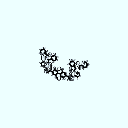 O=C(N[C@@H](C(=O)N1CCC[C@H]1c1ncc(-c2cc3c4c(c2)OCc2cc(-c5cnc([C@@H]6CCCN6C(=O)[C@H](NC(=O)c6ccccn6)c6ccccc6)[nH]5)cc(c2-4)OC3)[nH]1)c1ccccc1)c1ccccn1